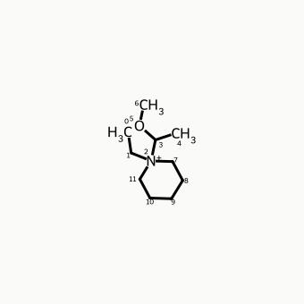 CC[N+]1(C(C)OC)CCCCC1